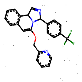 FC(F)(F)c1ccc(C2N=CC3c4ccccc4C=C(OCc4ccccn4)N32)cc1